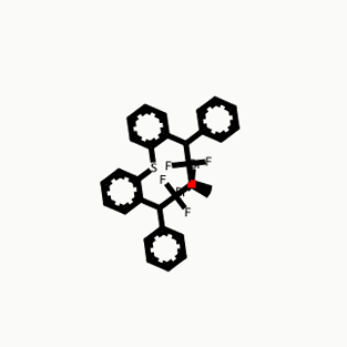 C=C(Br)C(F)(F)C(c1ccccc1)c1ccccc1Sc1ccccc1C(c1ccccc1)C(F)(F)C(=C)Br